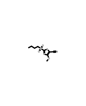 CCCCS(=O)(=O)c1nc(OC)c(C#N)s1